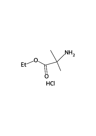 CCOC(=O)C(C)(C)N.Cl